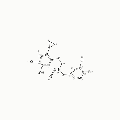 Cn1c(C2CC2)c2c(c(O)c1=O)C(=O)N(Cc1ccc(F)c(Cl)c1)CC2